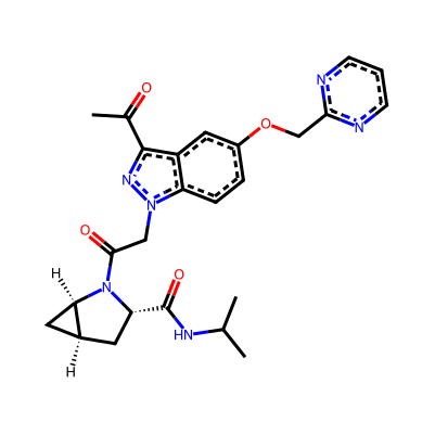 CC(=O)c1nn(CC(=O)N2[C@@H]3C[C@@H]3C[C@H]2C(=O)NC(C)C)c2ccc(OCc3ncccn3)cc12